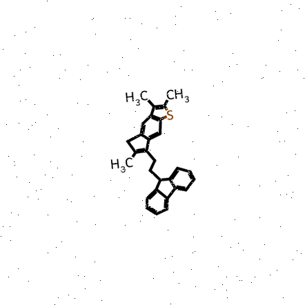 CC1=C(CCC2c3ccccc3-c3ccccc32)c2cc3sc(C)c(C)c3cc2C1